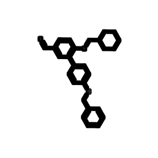 O=Cc1ccc(OCC2CCCCC2)c(-c2ccc(OCc3ccccc3)cc2)c1